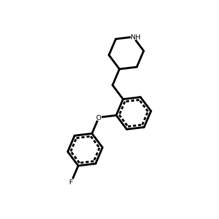 Fc1ccc(Oc2ccccc2CC2CCNCC2)cc1